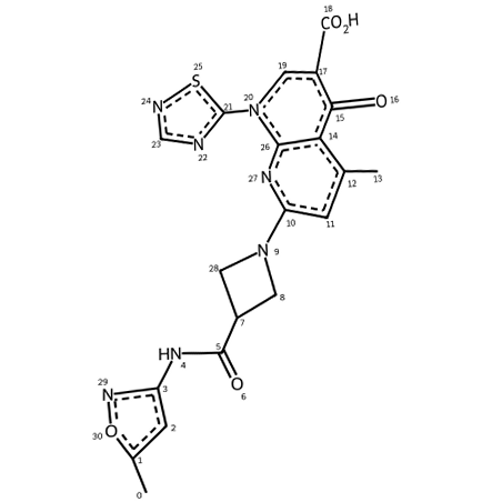 Cc1cc(NC(=O)C2CN(c3cc(C)c4c(=O)c(C(=O)O)cn(-c5ncns5)c4n3)C2)no1